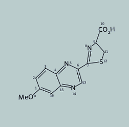 COc1ccc2nc(C3=NC(C(=O)O)CS3)cnc2c1